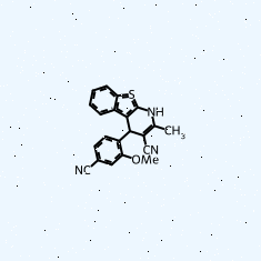 COc1cc(C#N)ccc1C1C(C#N)=C(C)Nc2sc3ccccc3c21